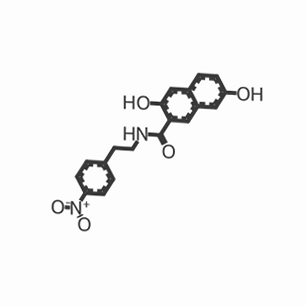 O=C(NCCc1ccc([N+](=O)[O-])cc1)c1cc2cc(O)ccc2cc1O